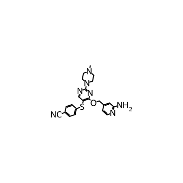 CN1CCN(c2ncc(Sc3ccc(C#N)cc3)c(OCc3ccnc(N)c3)n2)CC1